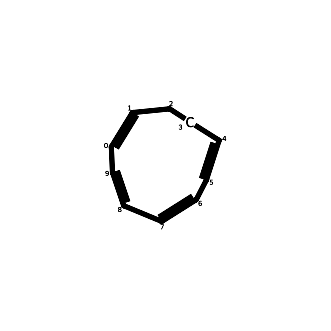 [C]1=CCCC=CC=CC=C1